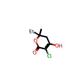 CCC1(C)CC(O)=C(Cl)C(=O)O1